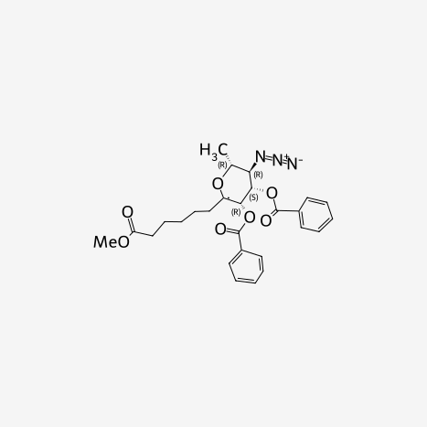 COC(=O)CCCCC[C]1O[C@H](C)[C@@H](N=[N+]=[N-])[C@H](OC(=O)c2ccccc2)[C@@H]1OC(=O)c1ccccc1